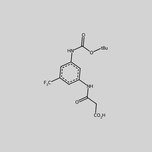 CC(C)(C)OC(=O)Nc1cc(NC(=O)CC(=O)O)cc(C(F)(F)F)c1